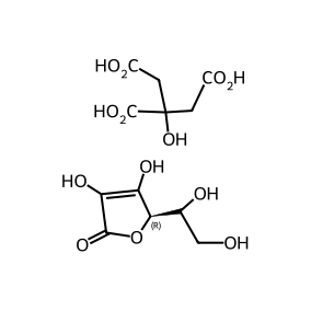 O=C(O)CC(O)(CC(=O)O)C(=O)O.O=C1O[C@H](C(O)CO)C(O)=C1O